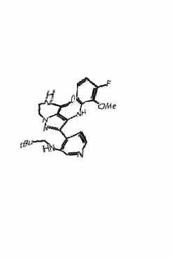 COc1c(F)cccc1Nc1c(-c2ccncc2NCC(C)(C)C)nn2c1C(=O)NCC2